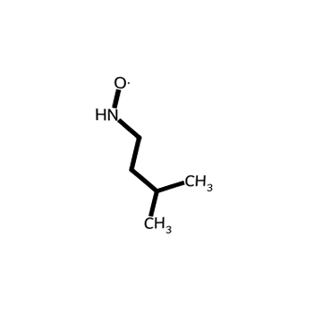 CC(C)CCN[O]